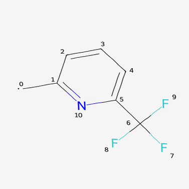 [CH2]c1cccc(C(F)(F)F)n1